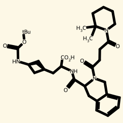 CC(C)(C)OC(=O)NC12CC(CC(NC(=O)C3Cc4ccccc4CN3C(=O)CCC(=O)N3CCCCC3(C)C)C(=O)O)(C1)C2